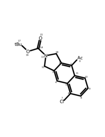 CC(=O)c1c2c(cc3c(Cl)cccc13)CN(C(=O)OC(C)(C)C)C2